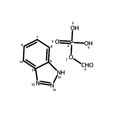 O=COP(=O)(O)O.c1ccc2[nH]nnc2c1